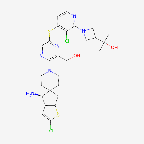 CC(C)(O)C1CN(c2nccc(Sc3cnc(N4CCC5(CC4)Cc4sc(Cl)cc4[C@H]5N)c(CO)n3)c2Cl)C1